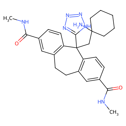 CNC(=O)c1ccc2c(c1)CCc1cc(C(=O)NC)ccc1C2(CC1(N)CCCCC1)c1nnn[nH]1